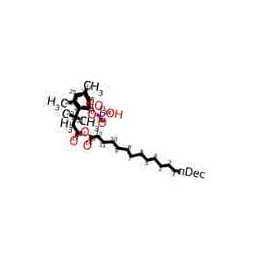 CCCCCCCCCCCCCCCCCCCCCCC(=O)OC(=O)CC(C)(C)c1c(C)cc(C)cc1OP(=O)(O)O